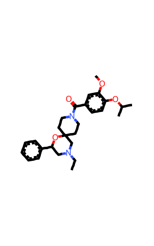 CCN1CC(c2ccccc2)OC2(CCN(C(=O)c3ccc(OC(C)C)c(OC)c3)CC2)C1